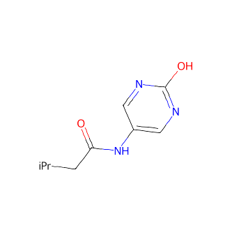 CC(C)CC(=O)Nc1cnc(O)nc1